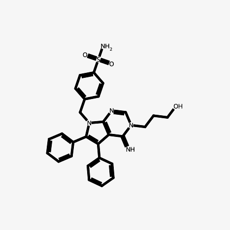 N=c1c2c(-c3ccccc3)c(-c3ccccc3)n(Cc3ccc(S(N)(=O)=O)cc3)c2ncn1CCCO